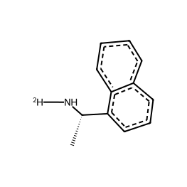 [2H]N[C@@H](C)c1cccc2ccccc12